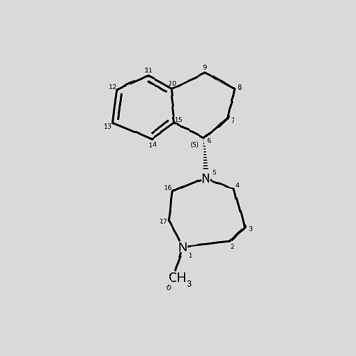 CN1CCCN([C@H]2CCCc3ccccc32)CC1